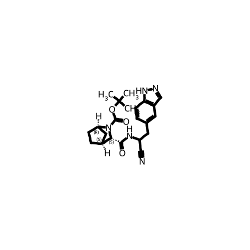 CC(C)(C)OC(=O)N1[C@@H]2CC[C@@H](C2)[C@H]1C(=O)NC(C#N)Cc1ccc2[nH]ncc2c1